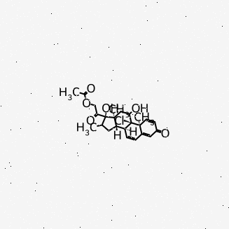 CC(=O)OCC(=O)[C@@]1(O)C(C)C[C@H]2[C@@H]3C=CC4=CC(=O)C=C[C@]4(C)[C@@]3(Cl)C(O)C[C@@]21C